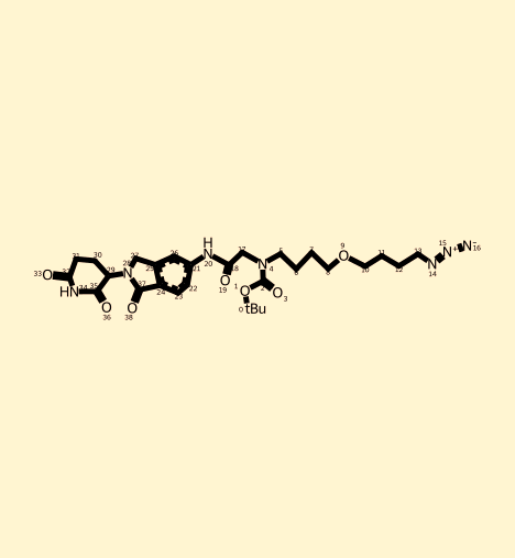 CC(C)(C)OC(=O)N(CCCCOCCCCN=[N+]=[N-])CC(=O)Nc1ccc2c(c1)CN(C1CCC(=O)NC1=O)C2=O